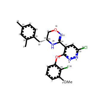 COc1cccc(Oc2nnc(Cl)cc2C2=NOC[C@@H](Cc3ccc(C)cc3C)N2)c1F